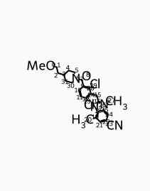 COCCC1CCN(C(=O)c2ccc(Cl)c(Cc3nc4c(C)cc(C#N)cc4n3C)c2Cl)CC1